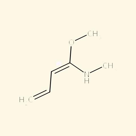 C=C/C=C(\NC)OC